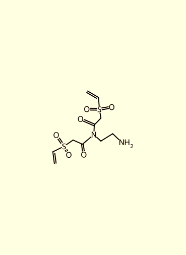 C=CS(=O)(=O)CC(=O)N(CCN)C(=O)CS(=O)(=O)C=C